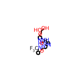 O=C(NC(c1ccccc1)C(F)(F)F)c1ccc2c(n1)N(C(=O)Nc1cc(OCC(O)CO)ccn1)[C@H]1CCN2C1